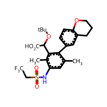 Cc1cc(NS(=O)(=O)CC(F)(F)F)c(C)c(C(OC(C)(C)C)C(=O)O)c1-c1ccc2c(c1)CCCO2